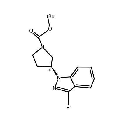 CC(C)(C)OC(=O)N1CC[C@H](n2nc(Br)c3ccccc32)C1